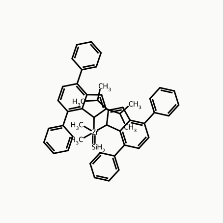 CC(C)C1=Cc2c(-c3ccccc3)ccc(-c3ccccc3)c2[CH]1[Zr]([CH3])([CH3])(=[SiH2])[CH]1C(C(C)C)=Cc2c(-c3ccccc3)ccc(-c3ccccc3)c21